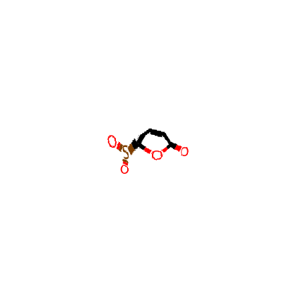 O=C1C=CC(=S(=O)=O)O1